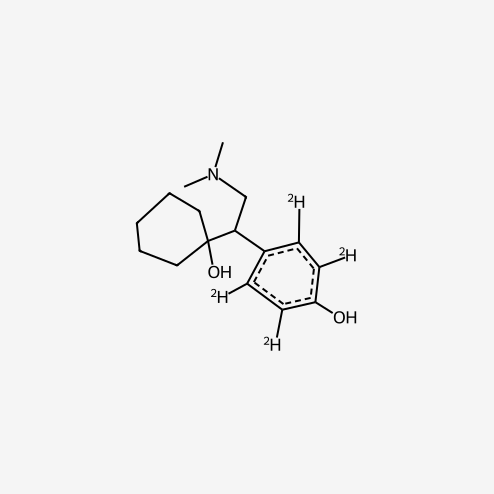 [2H]c1c([2H])c(C(CN(C)C)C2(O)CCCCC2)c([2H])c([2H])c1O